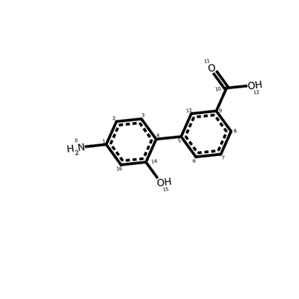 Nc1ccc(-c2cccc(C(=O)O)c2)c(O)c1